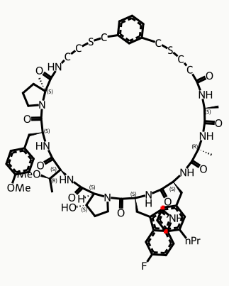 CCCc1cccc(C[C@@H]2NC(=O)[C@@H](C)NC(=O)[C@H](C)NC(=O)CCSCc3cccc(c3)CSCCNC(=O)[C@]3(C)CCCN3C(=O)[C@H](Cc3ccc(OC)cc3)NC(=O)[C@H]([C@@H](C)OC)NC(=O)[C@@H]3[C@@H](O)CCN3C(=O)[C@H](Cc3c[nH]c4ccc(F)cc34)NC2=O)c1